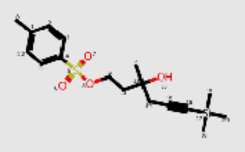 Cc1ccc(S(=O)(=O)OCCC(C)(O)CC#C[Si](C)(C)C)cc1